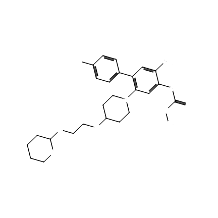 CC(C)(C)OC(=O)Nc1cc(N2CCC(OCCOC3CCCCO3)CC2)c(-c2ccc(F)cc2)cc1N